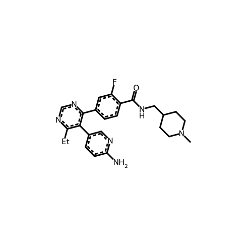 CCc1ncnc(-c2ccc(C(=O)NCC3CCN(C)CC3)c(F)c2)c1-c1ccc(N)nc1